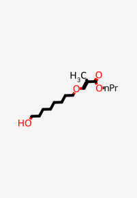 CCCOC(=O)C(C)=COCCCCCCCCO